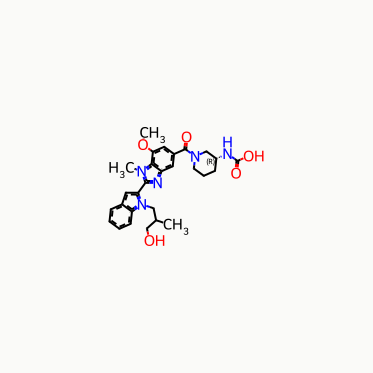 COc1cc(C(=O)N2CCC[C@@H](NC(=O)O)C2)cc2nc(-c3cc4ccccc4n3CC(C)CO)n(C)c12